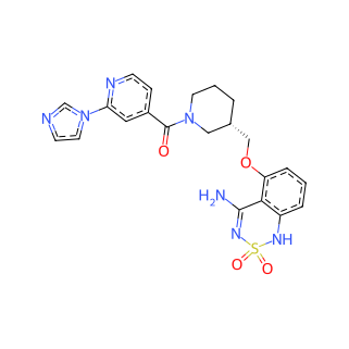 NC1=NS(=O)(=O)Nc2cccc(OC[C@H]3CCCN(C(=O)c4ccnc(-n5ccnc5)c4)C3)c21